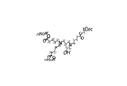 CCCCCCCCCCCOC(=O)CCCCN(CCO)CCCN(CCCCC(=O)OCCCCCCCCC)CCCCC(=O)OCCCCCCCCC